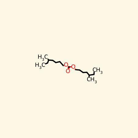 CCC(C)CCCCOC(=O)OCCCCC(C)CC